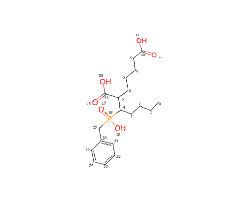 CCCCC(C(CCCCC(=O)O)C(=O)O)P(=O)(O)Cc1ccccc1